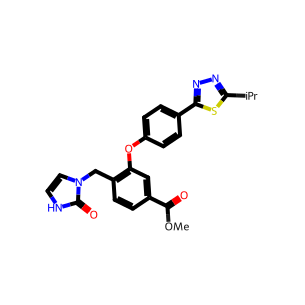 COC(=O)c1ccc(Cn2cc[nH]c2=O)c(Oc2ccc(-c3nnc(C(C)C)s3)cc2)c1